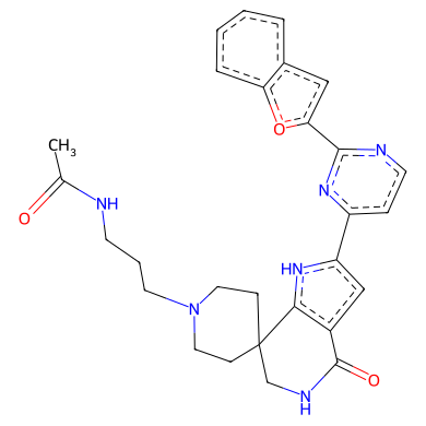 CC(=O)NCCCN1CCC2(CC1)CNC(=O)c1cc(-c3ccnc(-c4cc5ccccc5o4)n3)[nH]c12